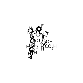 CC(C)N(C(=O)c1cc(F)ccc1Oc1cncnc1N1CC2(CCN(C(=O)[C@H]3N[C@H]4CC[C@@H]3C[C@H]4CC3CC3)CC2)C1)C(C)C.O=C(O)[C@H](O)[C@@H](O)C(=O)O